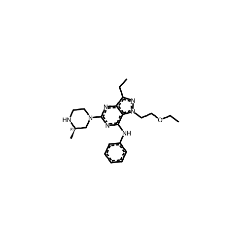 CCOCCn1nc(CC)c2nc(N3CCN[C@H](C)C3)nc(Nc3ccccc3)c21